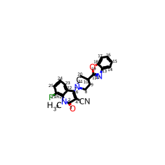 Cn1c(=O)c(C#N)c(N2CCC(c3nc4ccccc4o3)CC2)c2cccc(F)c21